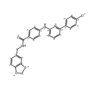 O=C(NCc1ccc2c(c1)OCO2)c1ccc(Nc2nccc(-c3ccc(Cl)cc3)n2)cc1